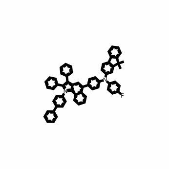 CC1(C)c2ccccc2-c2ccc(N(c3ccc(F)cc3)c3ccc(-c4cc5c(-c6ccccc6)c(-c6ccccc6)n(-c6ccc(-c7ccccc7)cc6)c5c5ccccc45)cc3)cc21